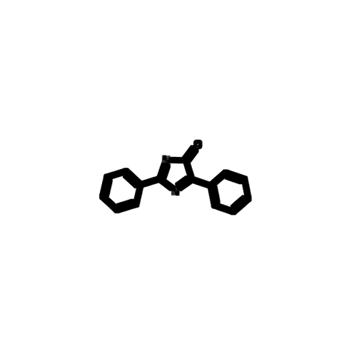 O=C1N=C(c2ccccc2)N=C1c1ccccc1